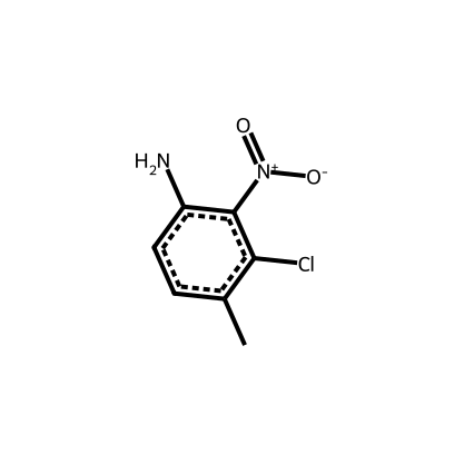 Cc1ccc(N)c([N+](=O)[O-])c1Cl